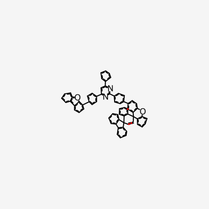 c1ccc(-c2cc(-c3ccc(-c4cccc5c4oc4ccccc45)cc3)nc(-c3ccc(-c4ccc5c(c4)C4(c6ccccc6O5)c5ccccc5C5(c6ccccc6-c6ccccc65)c5ccccc54)cc3)n2)cc1